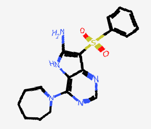 Nc1[nH]c2c(N3CCCCCC3)ncnc2c1S(=O)(=O)c1ccccc1